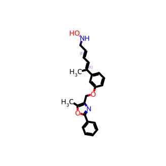 C/C(=C\C=C\CNO)c1cccc(OCc2nc(-c3ccccc3)oc2C)c1